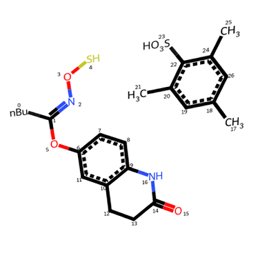 CCCCC(=NOS)Oc1ccc2c(c1)CCC(=O)N2.Cc1cc(C)c(S(=O)(=O)O)c(C)c1